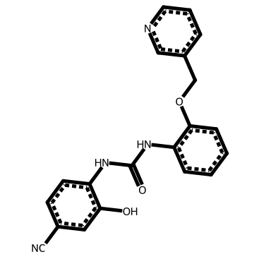 N#Cc1ccc(NC(=O)Nc2ccccc2OCc2cccnc2)c(O)c1